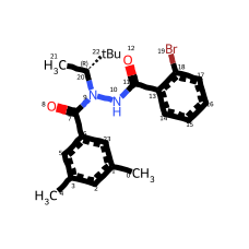 Cc1cc(C)cc(C(=O)N(NC(=O)c2ccccc2Br)[C@H](C)C(C)(C)C)c1